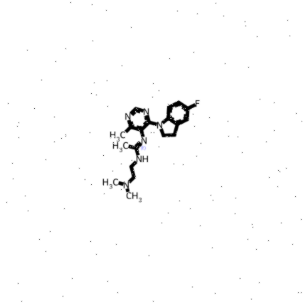 C/C(=N\c1c(C)ncnc1N1CCc2cc(F)ccc21)NCCN(C)C